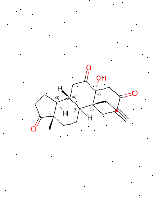 C#CC[C@]12CCC(=O)C[C@]1(O)C(=O)C[C@@H]1[C@@H]2CC[C@]2(C)C(=O)CC[C@@H]12